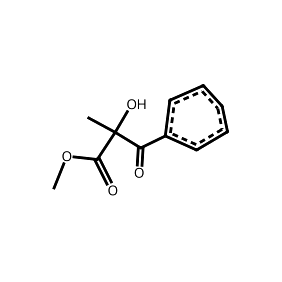 COC(=O)C(C)(O)C(=O)c1ccccc1